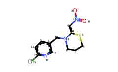 O=[N+]([O-])C=C1SCCCN1Cc1ccc(Cl)nc1